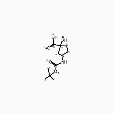 CC(C)(C)OC(=O)NC1CCC(O)(C(=O)O)C1